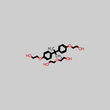 CC(C)(c1ccc(OCCO)cc1)c1ccc(OCCO)cc1.OCCOCCO